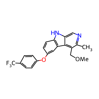 COCc1c(C)ncc2[nH]c3ccc(Oc4ccc(C(F)(F)F)cc4)cc3c12